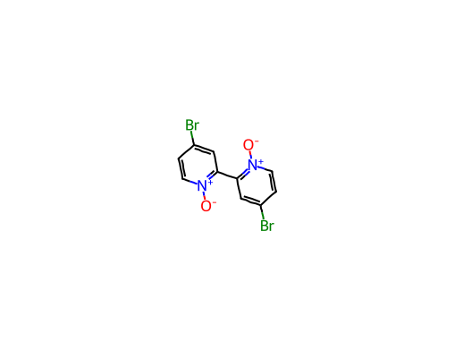 [O-][n+]1ccc(Br)cc1-c1cc(Br)cc[n+]1[O-]